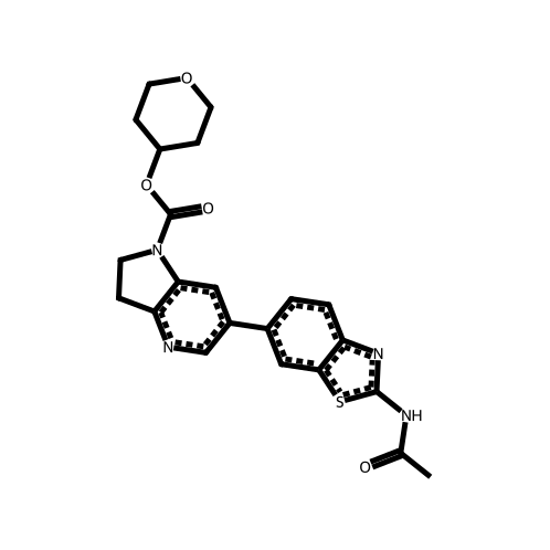 CC(=O)Nc1nc2ccc(-c3cnc4c(c3)N(C(=O)OC3CCOCC3)CC4)cc2s1